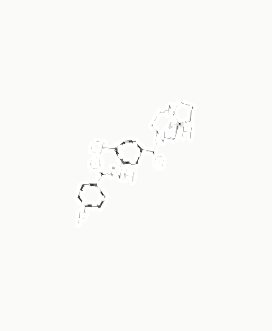 O=C(Nc1cc(C(=O)N2CCN3CCC[C@@H]3C2)ccc1Cl)c1ccc(F)cc1